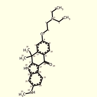 CCN(CC)CCOc1ccc2c(c1)C(C)(C)c1[nH]c3cc(NC)ccc3c1C2=O